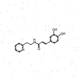 O=C(C=Cc1ccc(O)c(O)c1)NCCc1ccccn1